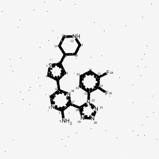 Nc1ncc(-c2csc(C3CCNCC3)c2)nc1-c1nnnn1-c1cccc(F)c1F